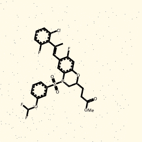 COC(=O)CCC1CN(S(=O)(=O)c2cccc(OC(F)F)c2)c2cc(C=C(C)c3c(F)cccc3Cl)c(F)cc2O1